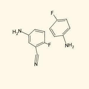 N#Cc1cc(N)ccc1F.Nc1ccc(F)cc1